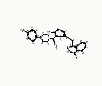 O=C(c1cc(Cc2n[nH]c(=O)c3ccccc23)ccc1F)N1CCN(c2ccc(F)cc2)CC1